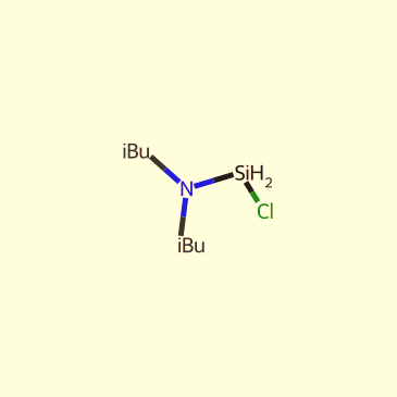 CCC(C)N([SiH2]Cl)C(C)CC